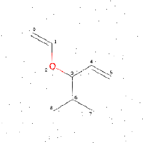 C=COC(C=C)C(C)C